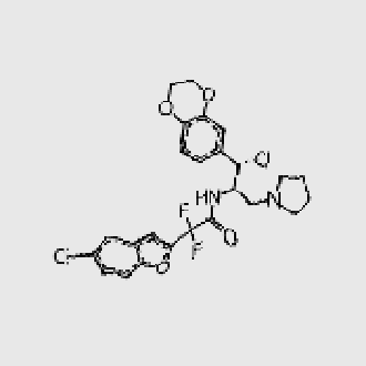 O=C(N[C@H](CN1CCCC1)[C@@H](Cl)c1ccc2c(c1)OCCO2)C(F)(F)c1cc2cc(Cl)ccc2o1